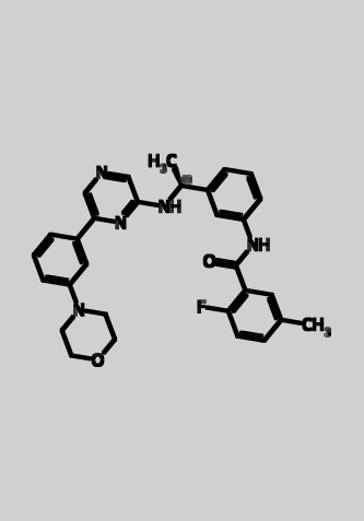 Cc1ccc(F)c(C(=O)Nc2cccc([C@H](C)Nc3cncc(-c4cccc(N5CCOCC5)c4)n3)c2)c1